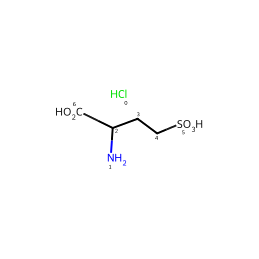 Cl.NC(CCS(=O)(=O)O)C(=O)O